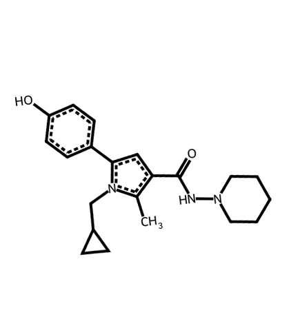 Cc1c(C(=O)NN2CCCCC2)cc(-c2ccc(O)cc2)n1CC1CC1